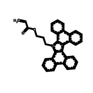 C=CC(=O)OCCCn1c2c3ccccc3c3ccccc3c2c2c3ccccc3c3ccccc3c21